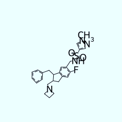 Cn1cc(S(=O)(=O)NCc2cc3c(cc2F)CC(CN2CCC2)C3Cc2ccccc2)cn1